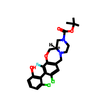 CC(C)(C)OC(=O)N1CCN2Cc3cc(Cl)c(-c4c(O)cccc4Cl)c(F)c3OC[C@H]2C1